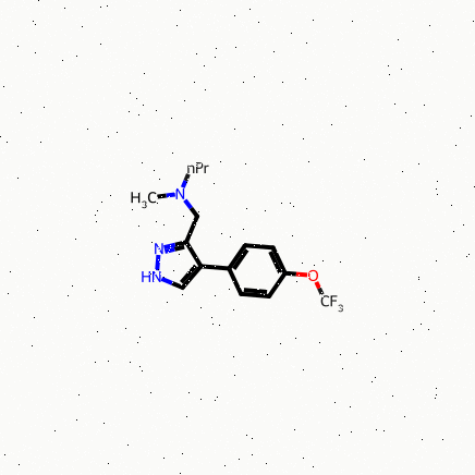 CCCN(C)Cc1n[nH]cc1-c1ccc(OC(F)(F)F)cc1